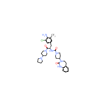 Nc1c(Cl)cc(C[C@@H](NC(=O)N2CCC(N3CCc4ccccc4NC3=O)CC2)C(=O)N2CCC(N3CCCC3)CC2)cc1C(F)(F)F